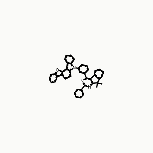 CC1(C)c2ccccc2-c2c(-c3cccc(-n4c5ccccc5c5c6oc7ccccc7c6ccc54)c3)nc(-c3ccccc3)nc21